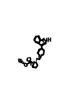 CC(C)(C)OC(=O)N1CCC[C@H]1CCN1CCC(c2c[nH]c3ccccc23)CC1